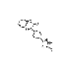 O=C1CSC(c2ccc(N(Oc3ccccc3)C(=O)O)cc2)=NN1